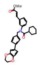 COC(=O)/C=C/c1cccc(N(Cc2ccc(-c3ccc4c(c3)OCCO4)cc2)C(=O)C2CCCCC2)c1